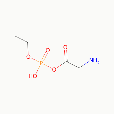 CCOP(=O)(O)OC(=O)CN